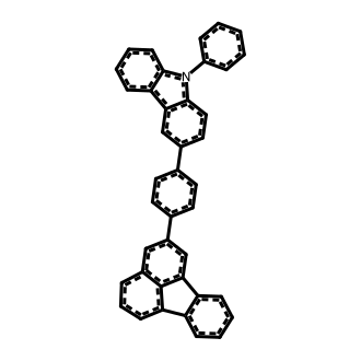 c1ccc(-n2c3ccccc3c3cc(-c4ccc(-c5cc6c7c(cccc7c5)-c5ccccc5-6)cc4)ccc32)cc1